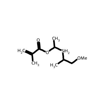 C=C(C)C(=O)OC(C)[SiH2]C(C)COC